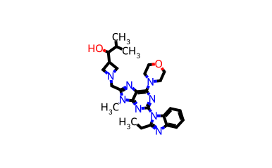 CCc1nc2ccccc2n1-c1nc(N2CCOCC2)c2nc(CN3CC(C(O)C(C)C)C3)n(C)c2n1